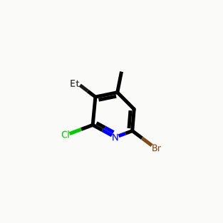 CCc1c(C)cc(Br)nc1Cl